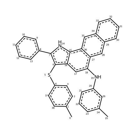 Cc1ccc(Sc2c(-c3ccccc3)[nH]c3c2cc(Nc2cccc(C)c2)c2cc4ccccc4cc23)cc1